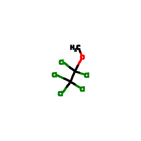 COC(Cl)(Cl)C(Cl)(Cl)Cl